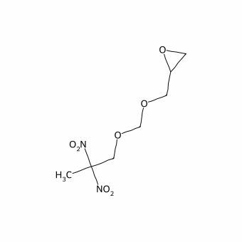 CC(COCOCC1CO1)([N+](=O)[O-])[N+](=O)[O-]